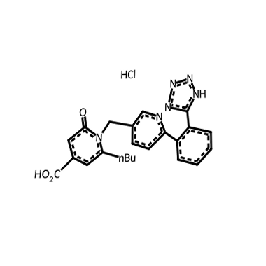 CCCCc1cc(C(=O)O)cc(=O)n1Cc1ccc(-c2ccccc2-c2nnn[nH]2)nc1.Cl